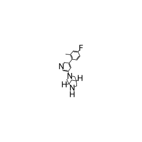 Cc1cc(F)ccc1-c1cncc(N2C[C@@H]3CN[C@@H](C3)C2)c1